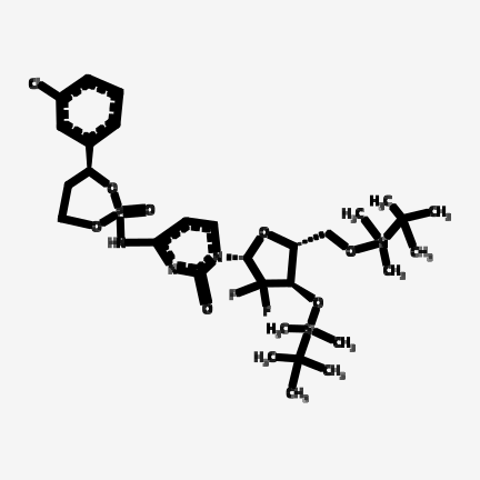 CC(C)(C)[Si](C)(C)OC[C@H]1O[C@@H](n2ccc(NP3(=O)OCC[C@@H](c4cccc(Cl)c4)O3)nc2=O)C(F)(F)[C@@H]1O[Si](C)(C)C(C)(C)C